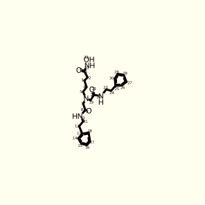 O=C(CCCCN(CC(=O)NCCc1ccccc1)CC(=O)NCCc1ccccc1)NO